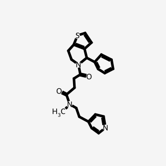 CN(CCc1ccncc1)C(=O)CCC(=O)N1CCc2sccc2C1c1ccccc1